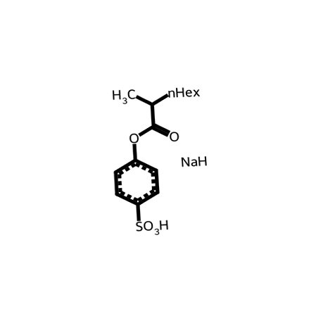 CCCCCCC(C)C(=O)Oc1ccc(S(=O)(=O)O)cc1.[NaH]